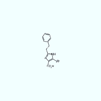 CC(C)c1[nH]c(CCc2ccccc2)nc1C(=O)O